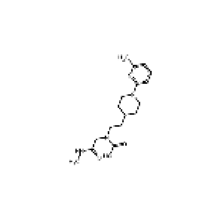 CNC(=O)CN(CCC1CCN(c2cccc(C)n2)CC1)C(=O)O